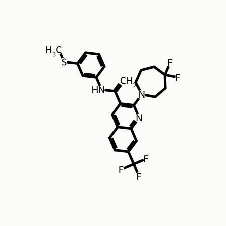 C=C(Nc1cccc(SC)c1)c1cc2ccc(C(F)(F)F)cc2nc1N1CCCC(F)(F)CC1